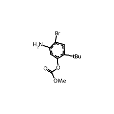 COC(=O)Oc1cc(N)c(Br)cc1C(C)(C)C